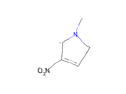 CN1[CH]C([N+](=O)[O-])=CC1